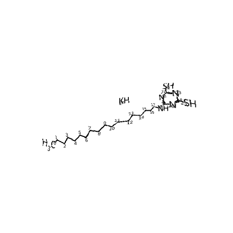 CCCCCCCCCCCCCCCCCCNc1nc(S)nc(S)n1.[KH]